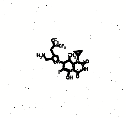 CC1c2c(c(=O)[nH]c(=O)n2C2CC2)C(O)=C(F)C1N1CC(CN)C(CC(C(F)(F)F)C(F)(F)F)C1